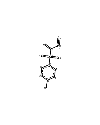 C#[PH]C(=C)S(=O)(=O)c1ccc(C)cc1